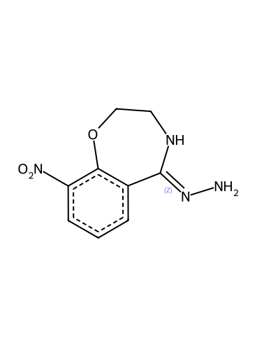 N/N=C1\NCCOc2c1cccc2[N+](=O)[O-]